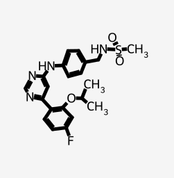 CC(C)Oc1cc(F)ccc1-c1cc(Nc2ccc(CNS(C)(=O)=O)cc2)ncn1